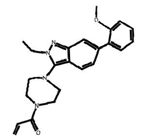 C=CC(=O)N1CCN(c2c3ccc(-c4ccccc4OC)cc3nn2CC)CC1